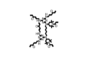 C=CC(=O)C=CCNc1nc(NCC=CC(=O)C=C)nc(N(CCCCCCN(c2nc(NCC=CC(=O)C=C)nc(NCC=CC(=O)C=C)n2)C2CC(C)(C)N(C(=O)C=C)C(C)(C)C2)C2CC(C)(C)N(C(=O)C=C)C(C)(C)C2)n1